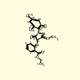 CCOC(=O)c1ccccc1SC1C(=O)N(c2c(Cl)cc(Cl)cc2Cl)N=C1OC